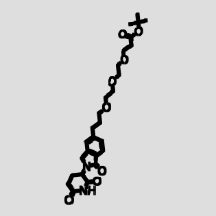 CC(C)(C)OC(=O)CCOCCOCCOCCCc1ccc2c(c1)CN(C1CCC(=O)NC1=O)C2=O